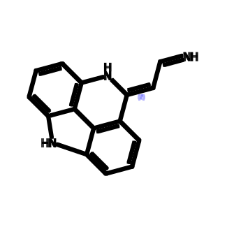 N=C/C=C1\Nc2cccc3[nH]c4cccc1c4c23